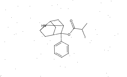 CC(I)C(=O)OC1(c2ccccc2)C2CC3CC1CC(C2)N3